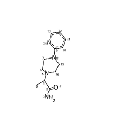 CC(C(N)=O)N1CCN(c2ccccn2)CC1